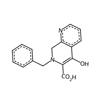 O=C(O)C1=C(O)c2cccnc2CN1Cc1ccccc1